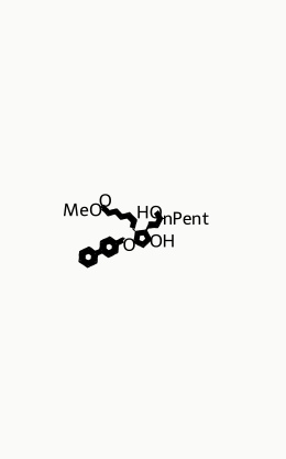 CCCCC[C@@H](O)/C=C/[C@@H]1[C@@H](C/C=C\CCCC(=O)OC)[C@@H](OCc2ccc(-c3ccccc3)cc2)C[C@H]1O